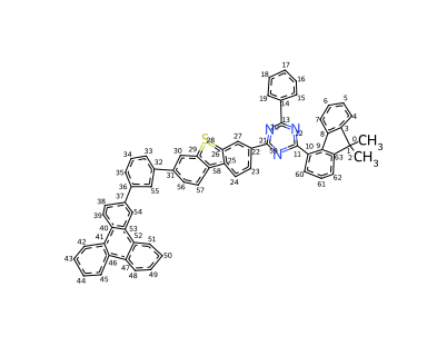 CC1(C)c2ccccc2-c2c(-c3nc(-c4ccccc4)nc(-c4ccc5c(c4)sc4cc(-c6cccc(-c7ccc8c9ccccc9c9ccccc9c8c7)c6)ccc45)n3)cccc21